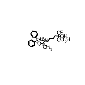 C[C@@H](CCCCCC(O)(C(=O)O)C(F)(F)F)O[Si](c1ccccc1)(c1ccccc1)C(C)(C)C